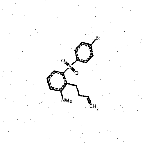 C=CCCc1c(NC)cccc1S(=O)(=O)c1ccc(Br)cc1